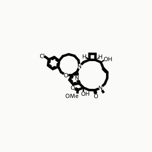 COC(=O)[C@@]1(O)CC(=O)N(C)CC/C=C/[C@H](O)[C@@H]2CC[C@H]2CN2CCCCc3cc(Cl)ccc3COc3ccc1nc32